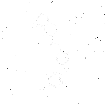 O=C(Oc1ccc(Oc2ccc(C(F)(F)F)cn2)cc1)N1CCc2ccccc2C1